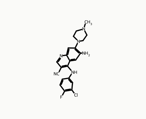 CN1CCN(c2cc3ncc(C#N)c(Nc4ccc(F)c(Cl)c4)c3cc2N)CC1